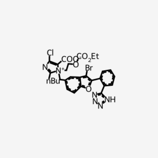 CCCCC1=NC(Cl)=C(C(=O)[O-])[N+]1(CCOC(=O)OCC)Cc1ccc2oc(-c3ccccc3-c3nnn[nH]3)c(Br)c2c1